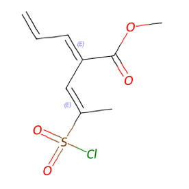 C=C/C=C(\C=C(/C)S(=O)(=O)Cl)C(=O)OC